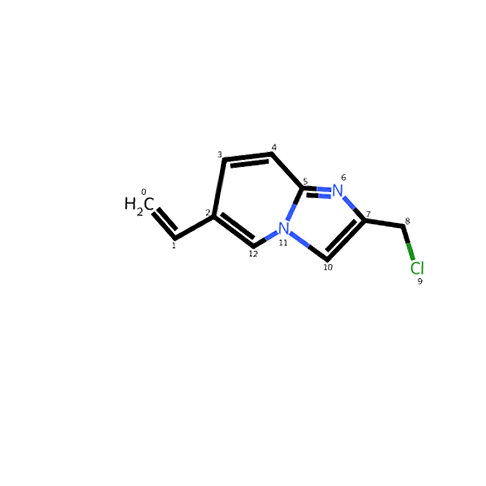 C=Cc1ccc2nc(CCl)cn2c1